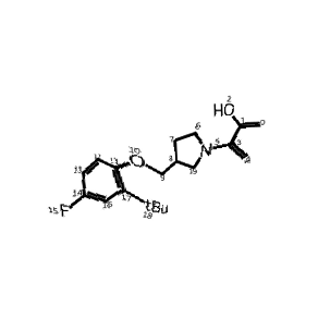 C=C(O)C(=C)N1CCC(COc2ccc(F)cc2C(C)(C)C)C1